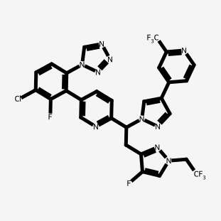 Fc1cn(CC(F)(F)F)nc1CC(c1ccc(-c2c(-n3cnnn3)ccc(Cl)c2F)cn1)n1cc(-c2ccnc(C(F)(F)F)c2)cn1